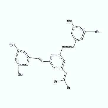 CC(C)(C)c1cc(C=Cc2cc(C=Cc3cc(C(C)(C)C)cc(C(C)(C)C)c3)cc(C=C(Br)Br)c2)cc(C(C)(C)C)c1